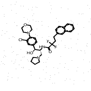 O=C(N[C@H](CN1CCCC1)[C@@H](O)c1ccc(N2CCOCC2)c(Cl)c1)C(F)(F)CCc1ccc2ccccc2c1